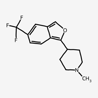 CN1CCC(c2occ3cc(C(F)(F)F)ccc23)CC1